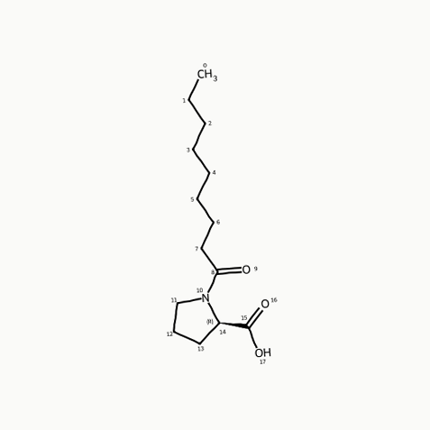 CCCCCCCCC(=O)N1CCC[C@@H]1C(=O)O